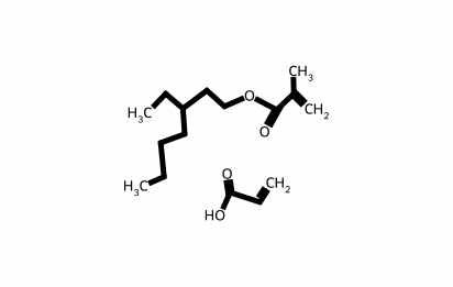 C=C(C)C(=O)OCCC(CC)CCCC.C=CC(=O)O